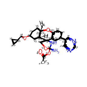 NC1(OC(=O)C(F)(F)F)NC2(CO1)c1cc(-c3cncnc3)ccc1O[C@H]1CCC(OCC3CC3)C[C@@H]12